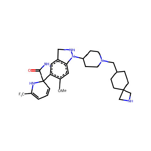 COc1cc2c(cc1C1(C(N)=O)C=CC=C(C(F)(F)F)N1)CNN2C1CCN(CC2CCC3(CC2)CNC3)CC1